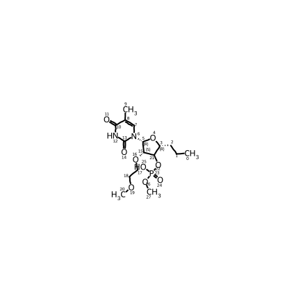 CCC[C@H]1O[C@@H](n2cc(C)c(=O)[nH]c2=O)[C@@H](OCCOC)C1OP(=O)(O)OC